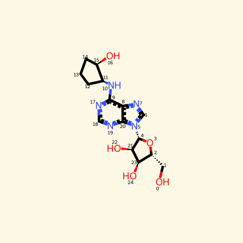 OC[C@H]1O[C@@H](n2cnc3c(N[C@H]4CCC[C@H]4O)ncnc32)[C@H](O)[C@@H]1O